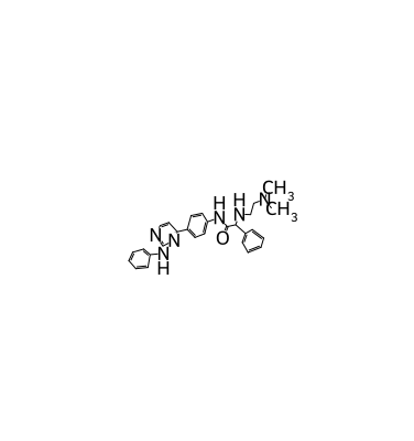 CN(C)CCNC(C(=O)Nc1ccc(-c2ccnc(Nc3ccccc3)n2)cc1)c1ccccc1